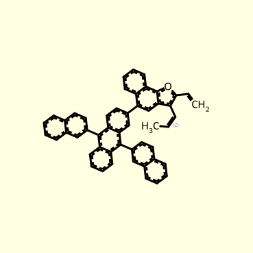 C=Cc1oc2c(cc(-c3ccc4c(-c5ccc6ccccc6c5)c5ccccc5c(-c5ccc6ccccc6c5)c4c3)c3ccccc32)c1/C=C\C